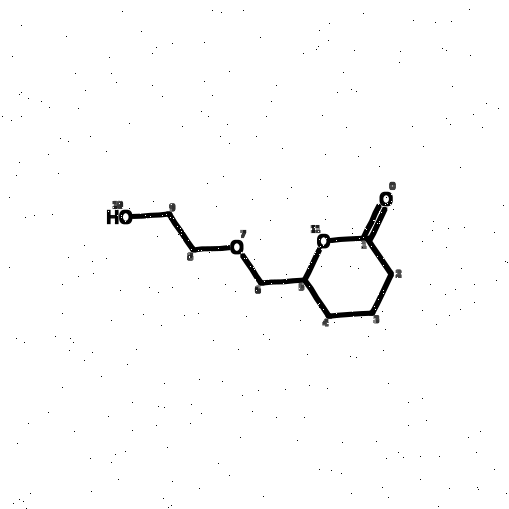 O=C1CCCC(COCCO)O1